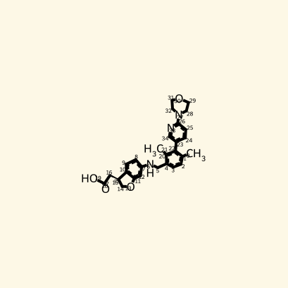 Cc1ccc(CNc2ccc3c(c2)OC[C@H]3CC(=O)O)c(C)c1-c1ccc(N2CCOCC2)nc1